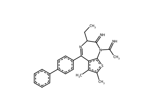 CCC1N=C(c2ccc(-c3ccccc3)cc2)c2c(sc(C)c2C)N(C(C)=N)C1=N